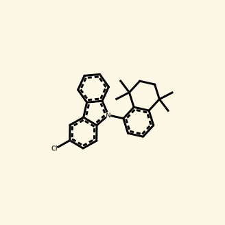 CC1(C)CCC(C)(C)c2c(-n3c4ccccc4c4cc(Cl)ccc43)cccc21